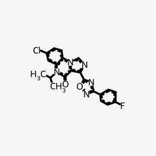 CC(C)n1c(=O)c2c(-c3nc(-c4ccc(F)cc4)no3)ncn2c2ccc(Cl)cc21